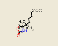 CCCCCCCCCCCCC(C)(C)c1coc(=O)[nH]1